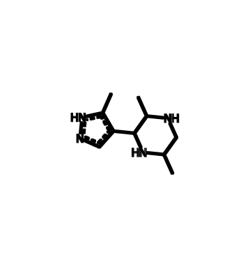 Cc1[nH]ncc1C1NC(C)CNC1C